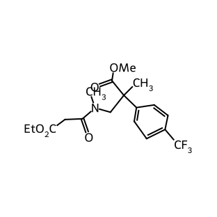 CCOC(=O)CC(=O)N(C)CC(C)(C(=O)OC)c1ccc(C(F)(F)F)cc1